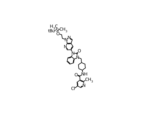 Cc1ncc(Cl)cc1C(=O)NC1CCC(Cn2c(=O)n(-c3cnc4c(cnn4CCO[Si](C)(C)C(C)(C)C)c3)c3ccccc32)CC1